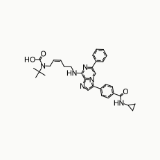 CC(C)(C)N(C/C=C\CCNc1nc(-c2ccccc2)cn2c(-c3ccc(C(=O)NC4CC4)cc3)cnc12)C(=O)O